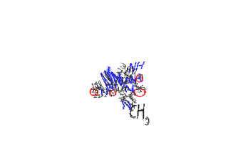 Cc1cc([C@@H]2OC=C(C(N)=O)N2c2cc3oc(N4CCOCC4)nc3nc2NC2CCNC2)ccn1